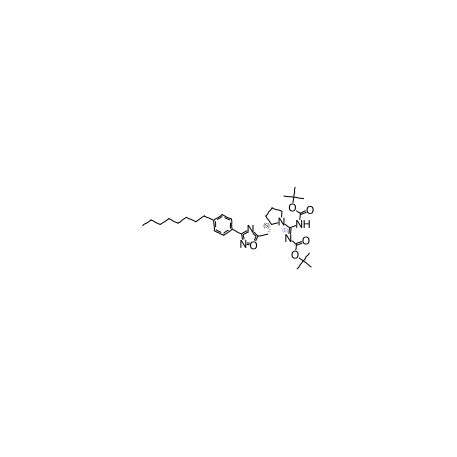 CCCCCCCCc1ccc(-c2noc(C[C@@H]3CCCN3/C(=N/C(=O)OC(C)(C)C)NC(=O)OC(C)(C)C)n2)cc1